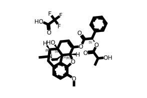 COc1ccc2c3c1O[C@H]1C(OC(=O)[C@@H](OC(=O)C(C)O)c4ccccc4)=CC[C@@]4(O)[C@@H](C2)N(C)CC[C@]314.O=C(O)C(F)(F)F